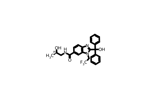 C[C@@H](O)CNC(=O)c1ccc2nc(C(O)(c3ccccc3)c3ccccc3)n(CC(F)(F)F)c2c1